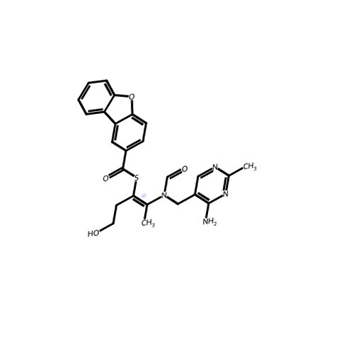 C/C(=C(\CCO)SC(=O)c1ccc2oc3ccccc3c2c1)N(C=O)Cc1cnc(C)nc1N